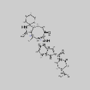 CC1=C2\C(=O)NC3(CCCCC3)C2CCC(=O)/C(Nc2ncnc3sc(C(=O)N4CCC(N(C)C)CC4)cc23)=C\1